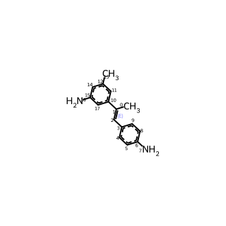 C/C(=C\c1ccc(N)cc1)c1cc(C)cc(N)c1